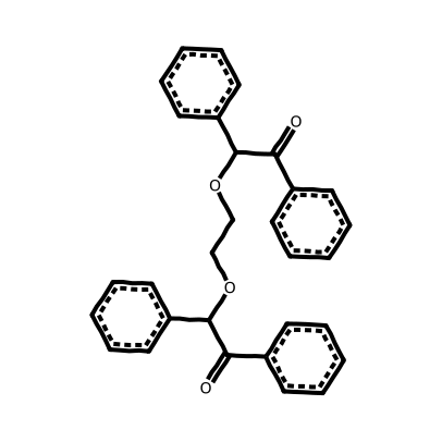 O=C(c1ccccc1)C(OCCOC(C(=O)c1ccccc1)c1ccccc1)c1ccccc1